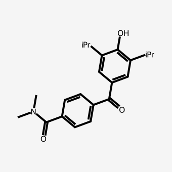 CC(C)c1cc(C(=O)c2ccc(C(=O)N(C)C)cc2)cc(C(C)C)c1O